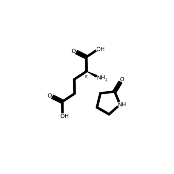 N[C@@H](CCC(=O)O)C(=O)O.O=C1CCCN1